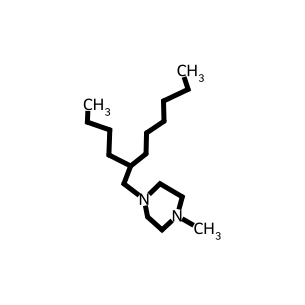 CCCCCCC(CCCC)CN1CCN(C)CC1